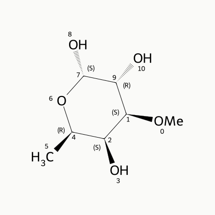 CO[C@H]1[C@@H](O)[C@@H](C)O[C@H](O)[C@@H]1O